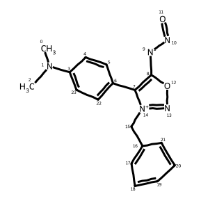 CN(C)c1ccc(-c2c([N-]N=O)on[n+]2Cc2ccccc2)cc1